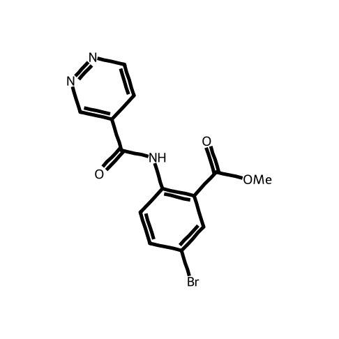 COC(=O)c1cc(Br)ccc1NC(=O)c1ccnnc1